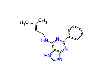 CC(C)=CCNc1nc(-c2ccccc2)nc2nc[nH]c12